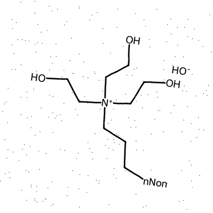 CCCCCCCCCCCC[N+](CCO)(CCO)CCO.[OH-]